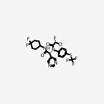 O=C(NC1CCC(F)(F)CC1)[C@@H](c1cncnc1)N(C(=O)[C@H](F)Cl)c1ccc(SC(F)(F)F)cc1